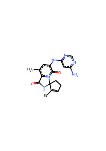 CCC1=CCCC12NC(=O)c1c(C)cc(Nc3cc(N)ncn3)c(=O)n12